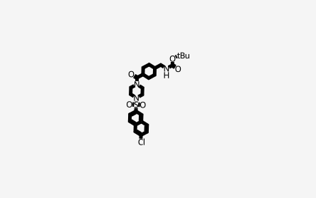 CC(C)(C)OC(=O)NCC1CCC(C(=O)N2CCN(S(=O)(=O)c3ccc4cc(Cl)ccc4c3)CC2)CC1